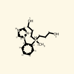 C[PH](CCCO)(CCCO)c1ccccc1-n1cncn1